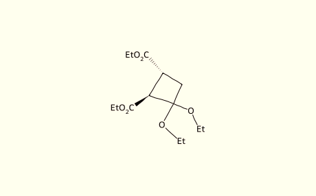 CCOC(=O)[C@@H]1CC(OCC)(OCC)[C@H]1C(=O)OCC